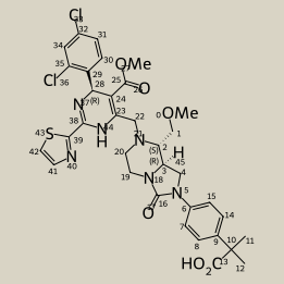 COC[C@@H]1[C@H]2CN(c3ccc(C(C)(C)C(=O)O)cc3)C(=O)N2CCN1CC1=C(C(=O)OC)[C@H](c2ccc(Cl)cc2Cl)N=C(c2nccs2)N1